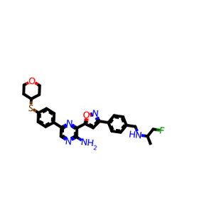 CC(CF)NCc1ccc(-c2cc(-c3nc(-c4ccc(SC5CCOCC5)cc4)cnc3N)on2)cc1